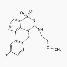 COCCNC1=NS(=O)(=O)c2cccc(-c3cc(F)ccc3F)c2N1